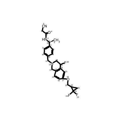 C[C@H](NC(=O)CC#N)c1ccc(CN2Cc3ccc(OCC4CC4(F)F)cc3C(F)C2)cc1